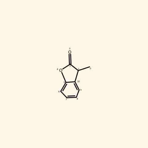 CC1C(=O)Oc2ccccc21